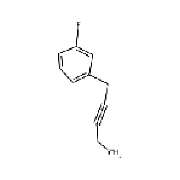 CCC#CCc1cccc(F)c1